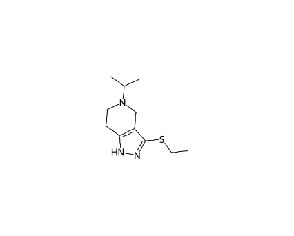 CCSc1n[nH]c2c1CN(C(C)C)CC2